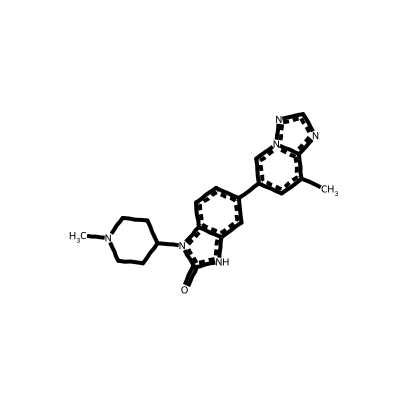 Cc1cc(-c2ccc3c(c2)[nH]c(=O)n3C2CCN(C)CC2)cn2ncnc12